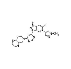 Cn1cc(-c2cc3c(-c4cc(N5CCc6nccnc6C5)ncn4)n[nH]c3cc2F)cn1